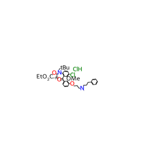 CCOC(=O)C[C@H]1O[C@H](c2cccc(OCCCN(C)CCCc3ccccc3)c2OC)c2cc(Cl)ccc2N(CC(C)(C)C)C1=O.Cl